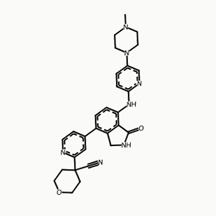 CN1CCN(c2ccc(Nc3ccc(-c4ccnc(C5(C#N)CCOCC5)c4)c4c3C(=O)NC4)nc2)CC1